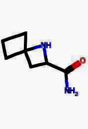 NC(=O)C1CC2(CCC2)N1